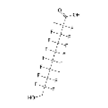 O=C(O)C(F)(F)C(F)(F)C(F)(F)C(F)(F)C(F)(F)C(F)(F)C(F)(F)C(F)(F)CO